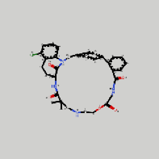 CC1(C)CNCCOC(=O)CNC(=O)c2ccccc2-c2ccc(cc2)CN2C(=O)[C@@H](CCc3c(Cl)cccc32)NC1=O